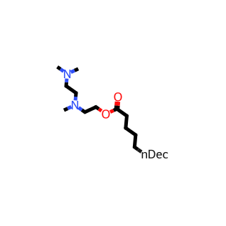 CCCCCCCCCCCCCCC(=O)OCCN(C)CCN(C)C